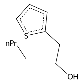 CCCC.OCCc1cccs1